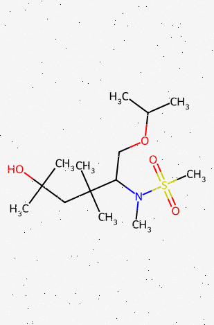 CC(C)OCC(N(C)S(C)(=O)=O)C(C)(C)CC(C)(C)O